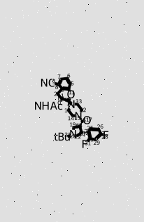 CC(=O)N[C@@H](Cc1ccccc1C#N)C(=O)N1CCN(C(=O)[C@@H]2CN(C(C)(C)C)C[C@H]2c2ccc(F)cc2F)CC1